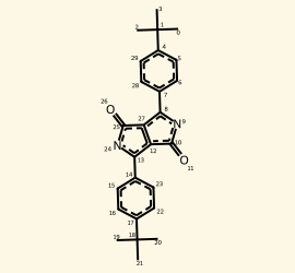 CC(C)(C)c1ccc(-c2nc(=O)c3c(-c4ccc(C(C)(C)C)cc4)nc(=O)c2=3)cc1